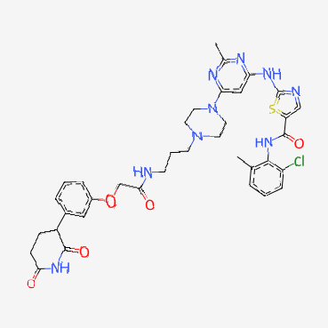 Cc1nc(Nc2ncc(C(=O)Nc3c(C)cccc3Cl)s2)cc(N2CCN(CCCNC(=O)COc3cccc(C4CCC(=O)NC4=O)c3)CC2)n1